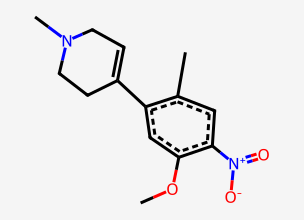 COc1cc(C2=CCN(C)CC2)c(C)cc1[N+](=O)[O-]